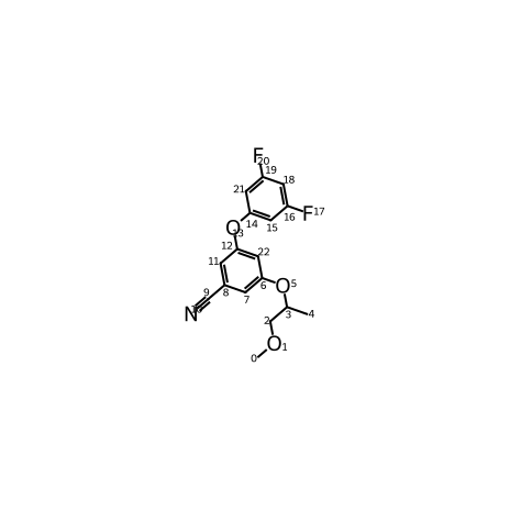 COCC(C)Oc1cc(C#N)cc(Oc2cc(F)cc(F)c2)c1